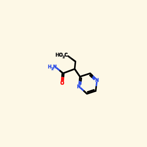 NC(=O)C(CC(=O)O)c1cnccn1